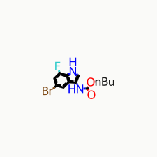 CCCCOC(=O)Nc1c[nH]c2c(F)cc(Br)cc12